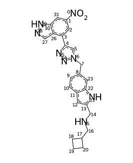 O=[N+]([O-])c1cc(-c2cn(Cc3ccc4cc(CNCC5CCC5)[nH]c4c3)nn2)c2cn[nH]c2c1